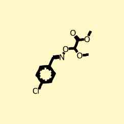 COC(=O)C(OC)ON=Cc1ccc(Cl)cc1